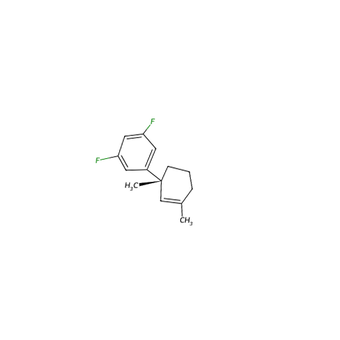 CC1=C[C@](C)(c2cc(F)cc(F)c2)CCC1